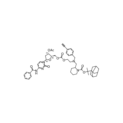 C#Cc1ccc(CN(CCOC(=O)OC[C@H]2O[C@@H](n3ccc(NC(=O)c4ccccc4)nc3=O)C[C@@H]2OC(C)=O)CC2CCCCN2C(=O)OC(C)(C)C23CC4CC(CC(C4)C2)C3)cc1